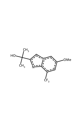 COc1cc(C(F)(F)F)c2nc(C(C)(C)O)cn2c1